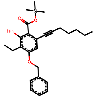 CCCCCC#Cc1cc(OCc2ccccc2)c(CC)c(O)c1C(=O)O[Si](C)(C)C